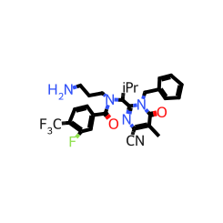 Cc1c(C#N)nc(C(C(C)C)N(CCCN)C(=O)c2ccc(C(F)(F)F)c(F)c2)n(Cc2ccccc2)c1=O